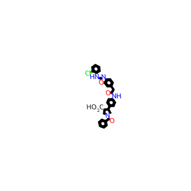 O=C(Cc1ccc2nc(Nc3ccccc3Cl)oc2c1)Nc1ccc(C2CN(C(=O)c3ccccc3)CC2C(=O)O)cc1